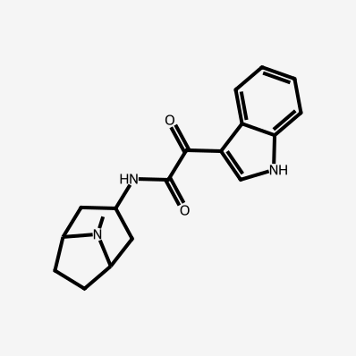 CN1C2CCC1CC(NC(=O)C(=O)c1c[nH]c3ccccc13)C2